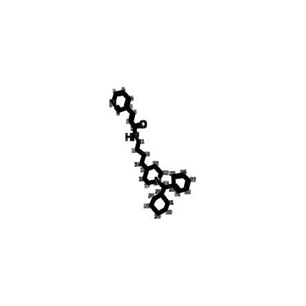 O=C(C=Cc1cccnc1)NCCCCC1CCN(C(c2ccccc2)C2CCCCC2)CC1